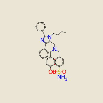 CCCCn1c(-c2ccccc2)nc(-c2ccccc2)c1CN(Cc1ccc(O)cc1)Cc1ccc(S(N)(=O)=O)cc1